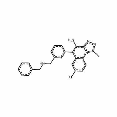 Cc1nnc2c(N)c(-c3cccc(CNCc4ccccc4)c3)c3cc(Cl)ccc3n12